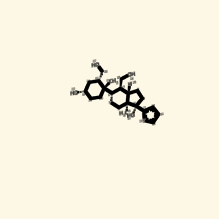 C[C@@]1([C@H]2CC[C@@]3(C)[C@@H](CC[C@@]3(O)c3cccs3)[C@@H]2CO)CC[C@H](O)C[C@@H]1CO